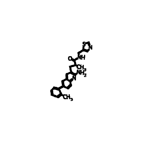 Cc1ccccc1-c1ccc2nc(N)c(CC(C)C(=O)NCc3cncs3)cc2c1